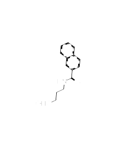 O=CCCCNC(=O)c1ccc2ccccc2c1